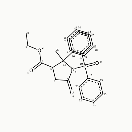 CCOC(=O)C1CC(=O)N(P(=O)(c2ccccc2)c2ccccc2)C1(C)c1ccccc1